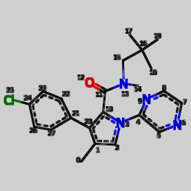 Cc1cn(-c2cnccn2)c(C(=O)N(C)CC(C)(C)C)c1-c1ccc(Cl)cc1